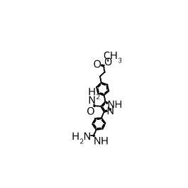 COC(=O)CCc1ccc(-c2[nH]nc(-c3ccc(C(=N)N)cc3)c2C(N)=O)cc1